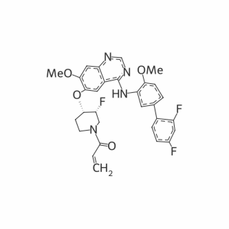 C=CC(=O)N1CC[C@H](Oc2cc3c(Nc4cc(-c5ccc(F)cc5F)ccc4OC)ncnc3cc2OC)[C@H](F)C1